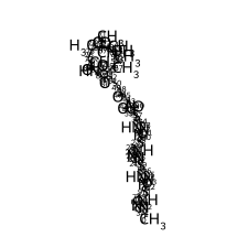 CCC1CCN2CC[C@H](CSC3CCN4CC[C@H](CSC5CCN6CC[C@H](CSC7CCN8CC[C@H](CSC9CC(=O)N(CCCC(=O)CCCCCC%10=C%11C[C@@H](C)C[C@H](C)[C@H](O)[C@@H](C)/C=C(\C)[C@H](OC(C)=O)[C@@H](C)/C=C\C=C(/C)C(=O)NC(=CC%10=O)C%11=O)C9=O)NC8=N7)NC6=N5)NC4=N3)NC2=N1